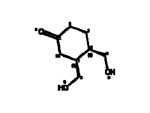 O=C1CC[C@@H](CO)[C@@H](CO)C1